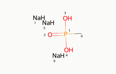 CP(=O)(O)O.[NaH].[NaH].[NaH]